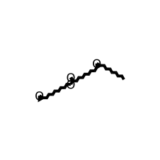 CCCCCCCCC1OC1CCCCCCCC(=O)OCCCCCCCCC1CO1